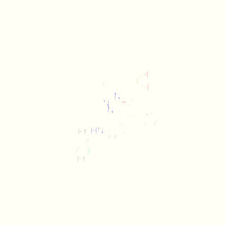 CC/C(C)=C\C(F)=C(/CC)CNC(=O)c1cn2c(c(OCc3ccccc3)c1=O)C(=O)N(CCCP(O)O)C1(CCOC1)N2C